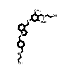 COc1cc(OCc2cccc3c2ccn3Cc2ccc(CNCCO)cc2)cc(OC)c1CNCCO